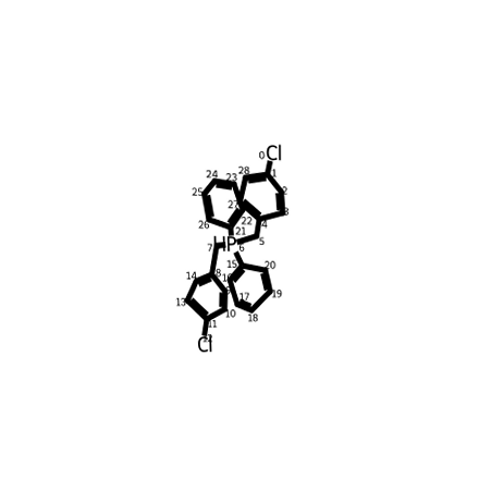 Clc1ccc(C[PH](Cc2ccc(Cl)cc2)(c2ccccc2)c2ccccc2)cc1